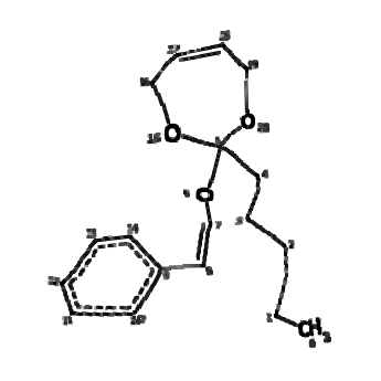 CCCCCC1(OC=Cc2ccccc2)OCC=CCO1